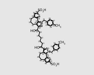 Cc1ccc(Cn2nc(C(O)CCCCCC(O)c3nn(Cc4ccc(C)cc4)c4c3CCCc3cc(S(=O)(=O)O)sc3-4)c3c2-c2sc(S(=O)(=O)O)cc2CCC3)cc1